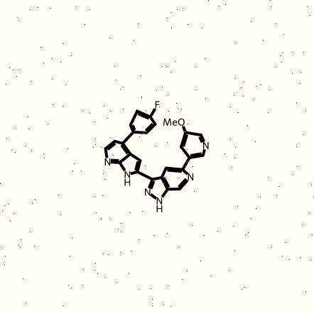 COc1cncc(-c2cc3c(-c4cc5c(-c6ccc(F)cc6)ccnc5[nH]4)n[nH]c3cn2)c1